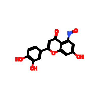 O=Nc1cc(O)cc2oc(-c3ccc(O)c(O)c3)cc(=O)c12